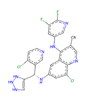 N#Cc1cnc2c(Cl)cc(N[C@H](C3=CNNN3)c3cnccc3Cl)cc2c1Nc1cnc(F)c(F)c1